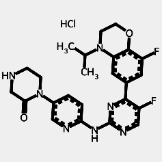 CC(C)N1CCOc2c(F)cc(-c3nc(Nc4ccc(N5CCNCC5=O)cn4)ncc3F)cc21.Cl